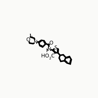 C[C@H]1CN(c2ccc(C(=O)N(I)c3scc(C4CCc5ccccc5C4)c3C(=O)O)cc2)CCO1